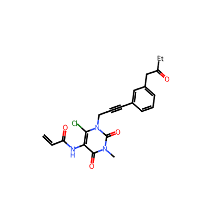 C=CC(=O)Nc1c(Cl)n(CC#Cc2cccc(CC(=O)CC)c2)c(=O)n(C)c1=O